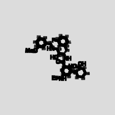 CCNc1cc(C(=O)N[C@@H](Cc2cccc(F)c2)[C@@H](O)CNCc2cccc(OC)c2)cc(N2CCCCS2(O)O)c1